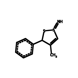 CC1=CS(=N)SC1c1ccccc1